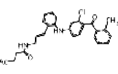 CC(=O)CCC(=O)NC/C=C/c1ccccc1Nc1ccc(C(=O)c2ccccc2C)c(Cl)c1